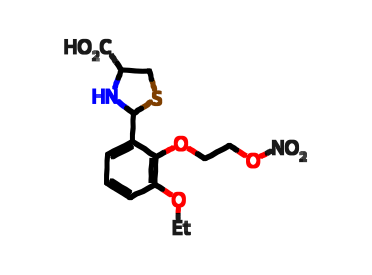 CCOc1cccc(C2NC(C(=O)O)CS2)c1OCCO[N+](=O)[O-]